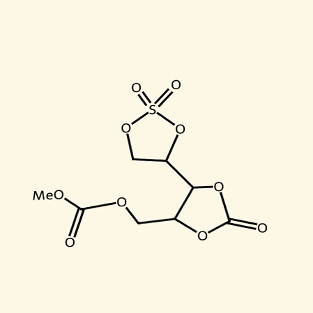 COC(=O)OCC1OC(=O)OC1C1COS(=O)(=O)O1